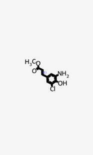 COC(=O)/C=C/c1cc(N)c(O)c(Cl)c1